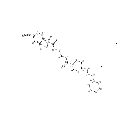 COc1cc(C)c(S(=O)(=O)N(C)CCOCC(=O)N2CCN(CCCN3CCCCC3)CC2)c(C)c1